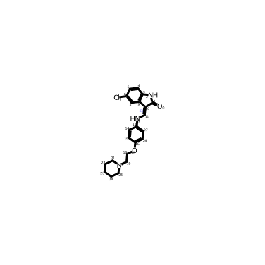 O=C1Nc2ccc(Cl)cc2/C1=C\Nc1ccc(OCCN2CCCCC2)cc1